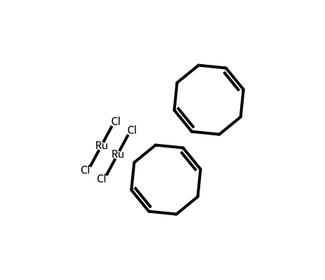 C1=C\CC/C=C\CC/1.C1=C\CC/C=C\CC/1.[Cl][Ru][Cl].[Cl][Ru][Cl]